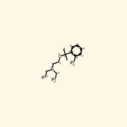 CC(C)CN(CCOC(C)(C)c1ccccc1C(C)C)CC(C)C